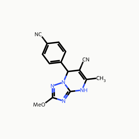 COc1nc2n(n1)C(c1ccc(C#N)cc1)C(C#N)=C(C)N2